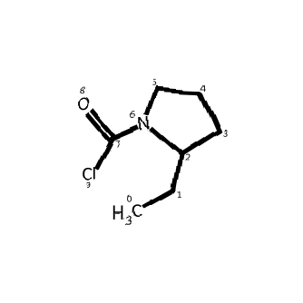 CCC1CCCN1C(=O)Cl